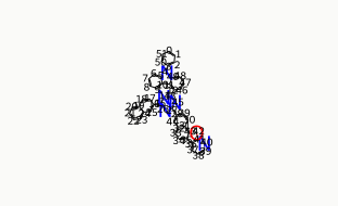 c1ccc(-n2c3ccccc3c3c(-c4nc(-c5ccc6ccccc6c5)nc(-c5ccc6c(ccc7c8cccnc8oc67)c5)n4)cccc32)cc1